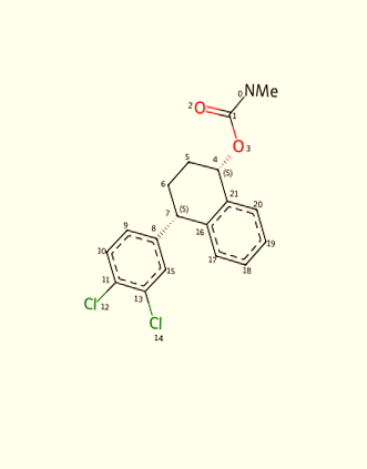 CNC(=O)O[C@H]1CC[C@@H](c2ccc(Cl)c(Cl)c2)c2ccccc21